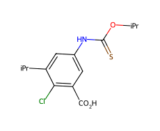 CC(C)OC(=S)Nc1cc(C(=O)O)c(Cl)c(C(C)C)c1